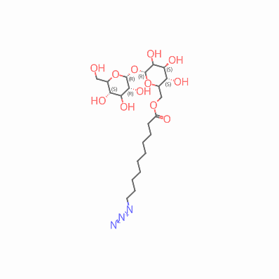 [N-]=[N+]=NCCCCCCCCCC(=O)OCC1O[C@H](O[C@H]2OC(CO)[C@@H](O)C(O)[C@H]2O)C(O)[C@@H](O)[C@@H]1O